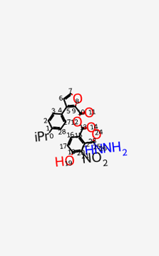 CC(C)c1ccc(-c2ccoc2C(=O)OC(=O)c2ccc(O)c([N+](=O)[O-])c2C(=O)NN)cc1